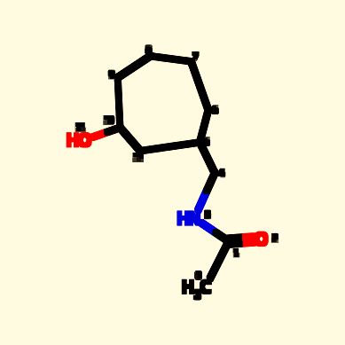 CC(=O)NCC1CCCCC(O)C1